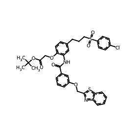 CC(C)(C)OC(=O)COc1ccc(CCCS(=O)(=O)c2ccc(Cl)cc2)cc1NC(=O)c1cccc(OCc2nc3ccccc3s2)c1